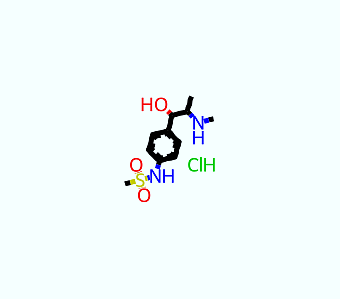 CNC(C)C(O)c1ccc(NS(C)(=O)=O)cc1.Cl